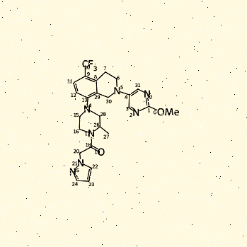 COc1ncc(N2CCc3c(C(F)(F)F)ccc(N4CCN(C(=O)Cn5cccn5)C(C)C4)c3C2)cn1